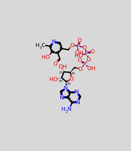 Cc1ncc(COP(=O)(O)OP(=O)(O)OP(=O)(O)OC[C@H]2O[C@@H](n3cnc4c(N)ncnc43)[C@H](O)[C@@H]2O)c(C=O)c1O